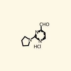 Cl.O=Cc1ccnc(N2CCCC2)n1